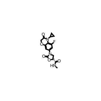 CNC(=O)[C@H]1CN(c2cc(F)c3c(c2)OCC(=O)N3C2CC2)C(=O)O1